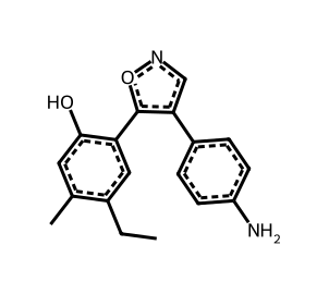 CCc1cc(-c2oncc2-c2ccc(N)cc2)c(O)cc1C